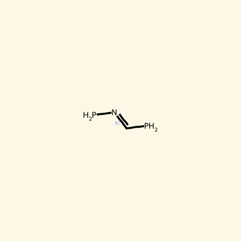 P/C=N/P